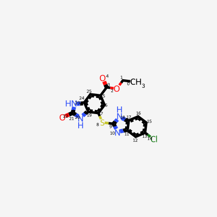 CCOC(=O)c1cc(Sc2nc3cc(Cl)ccc3[nH]2)c2[nH]c(=O)[nH]c2c1